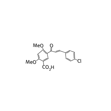 COc1cc(OC)c(C(=O)C=Cc2ccc(Cl)cc2)cc1C(=O)O